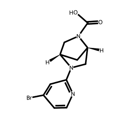 O=C(O)N1C[C@@H]2C[C@H]1CN2c1cc(Br)ccn1